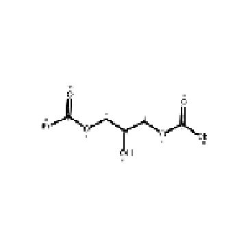 CCC(=O)OCC(O)COC(=O)C(C)C